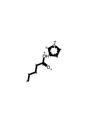 CCCCC(=O)O.c1ccsc1